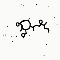 CCC[C@H](C)C(=O)CCC(C)C1C[C@@H](COC)/C(C)=C/C(=O)/C=C\[C@H](C)C1